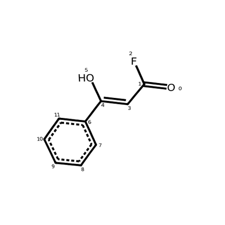 O=C(F)/C=C(\O)c1ccccc1